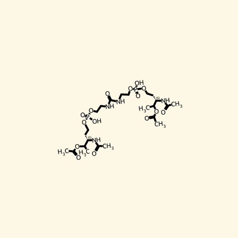 CC(=O)N[C@@H](CCOP(=O)(O)OCCNC(=O)NCCOP(=O)(O)OCC[C@H](NC(C)=O)C(C)OC(C)=O)C(C)OC(C)=O